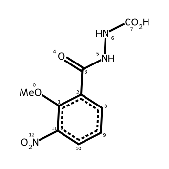 COc1c(C(=O)NNC(=O)O)cccc1[N+](=O)[O-]